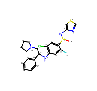 [O-][S+](Nc1cscn1)c1cc(Cl)c(NC(CN2CCCC2)c2ccccc2)cc1F